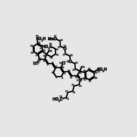 CCN1/C(=C/C=C2\CCCC(/C=C/C3=[N+](CCCCCC(=O)O)c4ccc(S(=O)(=O)O)cc4C3(C)CCOCCOCCOC)=C2Cl)C(C)(CCCS(=O)(=O)O)c2cc(S(=O)(=O)O)ccc21